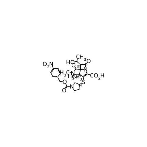 CC(O)[C@H]1C(=O)N2C(C(=O)O)=C(S[C@H]3CCN(C(=O)OCc4ccc([N+](=O)[O-])cc4)C3)[C@H](C)C12C(=O)N(C)C